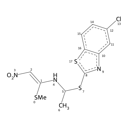 CS/C(=C\[N+](=O)[O-])NC(C)Sc1nc2cc(Cl)ccc2s1